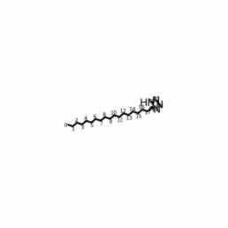 CCCCCCCCCCCCCCCCCCc1nnn[nH]1